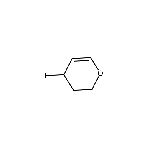 IC1C=COCC1